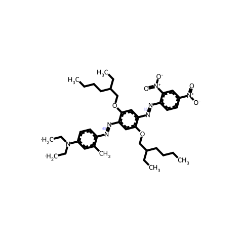 [CH2]CN(C[CH2])c1ccc(/N=N/c2cc(OCC(CC)CCCC)c(/N=N/c3ccc([N+](=O)[O-])cc3[N+](=O)[O-])cc2OCC(CC)CCCC)c(C)c1